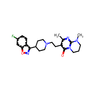 Cc1nc2n(c(=O)c1CCN1CCC(c3noc4cc(F)ccc34)CC1)CCCN2C